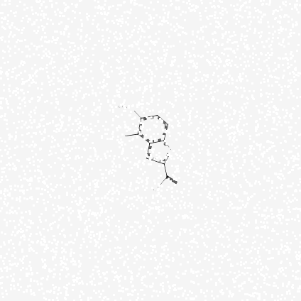 COc1ccc2[nH]c(C(N)=O)cc2c1Cl